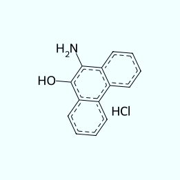 Cl.Nc1c(O)c2ccccc2c2ccccc12